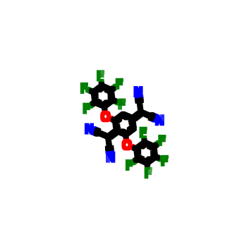 N#CC(C#N)=c1cc(Oc2c(F)c(F)c(F)c(F)c2F)c(=C(C#N)C#N)c(Oc2c(F)c(F)c(F)c(F)c2F)c1